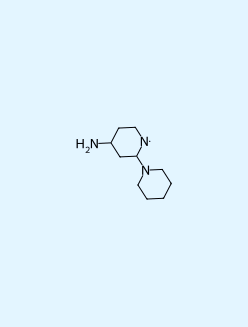 NC1CC[N]C(N2CCCCC2)C1